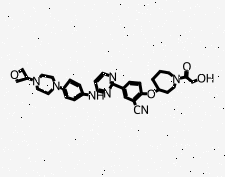 N#Cc1cc(-c2nccc(Nc3ccc(N4CCN(C5COC5)CC4)cc3)n2)ccc1OC1CCCN(C(=O)CO)CC1